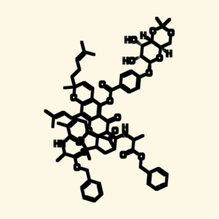 CC(C)=CCCC1(C)C=Cc2c(c(CC=C(C)C)c3c(c2OC(=O)c2ccc(O[C@@H]4O[C@@H]5COC(C)(C)O[C@H]5[C@@H](O)[C@H]4O)cc2)C(=O)C2C(NC(C)C(=O)OCc4ccccc4)C4CC5C(C)(C)OC(C/C=C(/C)C(=O)NC(C)C(=O)OCc6ccccc6)(C4=O)C25O3)O1